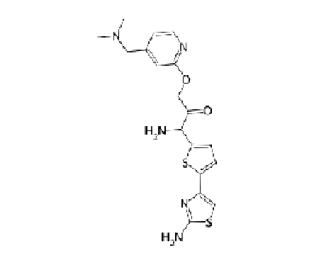 CN(C)Cc1ccnc(OCC(=O)C(N)c2ccc(-c3csc(N)n3)s2)c1